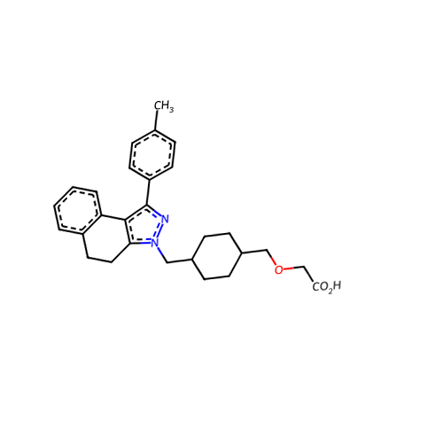 Cc1ccc(-c2nn(CC3CCC(COCC(=O)O)CC3)c3c2-c2ccccc2CC3)cc1